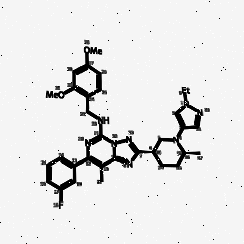 CCn1cc(N2C[C@H](c3nc4c(C)c(-c5cccc(F)c5)nc(NCc5ccc(OC)cc5OC)n4n3)CC[C@@H]2C)cn1